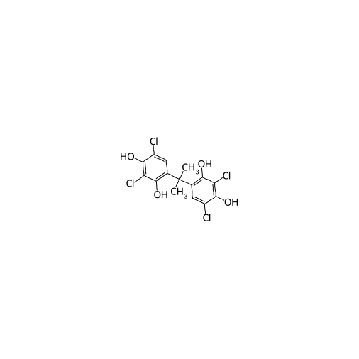 CC(C)(c1cc(Cl)c(O)c(Cl)c1O)c1cc(Cl)c(O)c(Cl)c1O